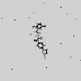 O=C(Nc1ccc(C2CCNC2)cc1)OCCc1cc(F)ccc1F